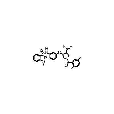 COc1ccccc1S(=O)(=O)Nc1cccc(OC2CN(C(=O)c3cc(C)ccc3C)CC2C(F)F)c1